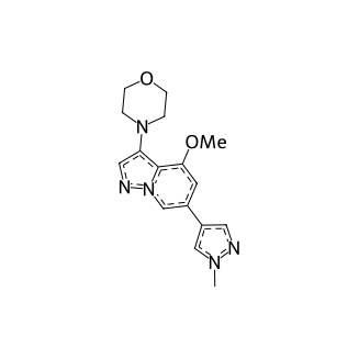 COc1cc(-c2cnn(C)c2)cn2ncc(N3CCOCC3)c12